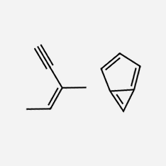 C#CC(C)=CC.c1cc2cc-2c1